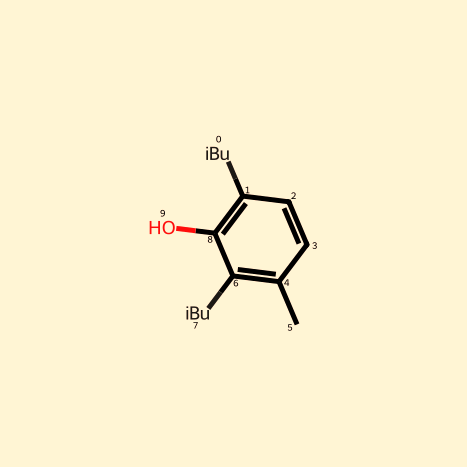 CCC(C)c1ccc(C)c(C(C)CC)c1O